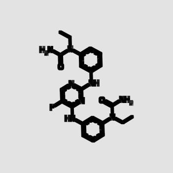 CCN(C(N)=O)c1cccc(Nc2ncc(F)c(Nc3cccc(N(CC)C(N)=O)c3)n2)c1